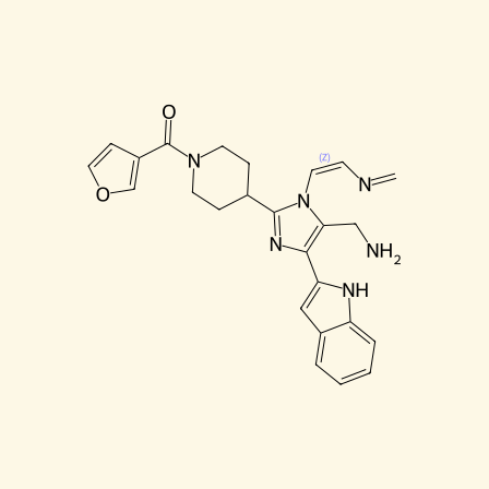 C=N/C=C\n1c(C2CCN(C(=O)c3ccoc3)CC2)nc(-c2cc3ccccc3[nH]2)c1CN